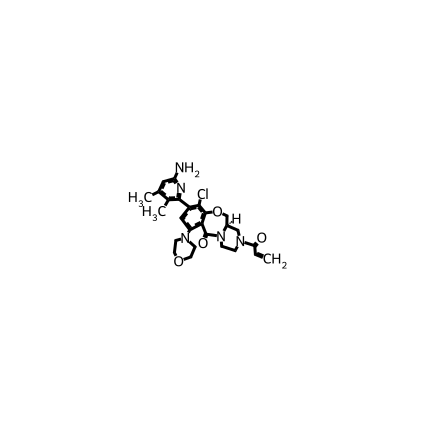 C=CC(=O)N1CCN2C(=O)c3c(N4CCOCC4)cc(-c4nc(N)cc(C)c4C)c(Cl)c3OC[C@H]2C1